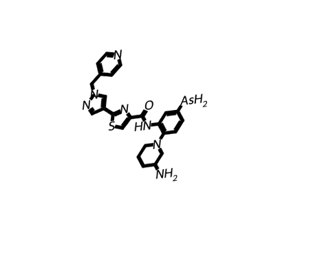 NC1CCCN(c2ccc([AsH2])cc2NC(=O)c2csc(-c3cnn(Cc4ccncc4)c3)n2)C1